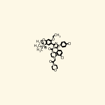 CCOc1cc(OC)c(S(=O)(=O)N(C)C)cc1C1=N[C@@H](c2ccc(Cl)cc2)[C@@H](c2ccc(Cl)cc2)N1C(=O)N1CCN(CC(=O)N2CCOCC2)CC1